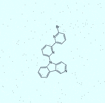 Brc1cccc(-c2cccc(-n3c4ccccc4c4cnccc43)n2)n1